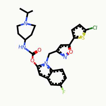 CC(C)N1CCC(NC(=O)Oc2cc3cc(F)ccc3n2Cc2cc(-c3ccc(Cl)s3)on2)CC1